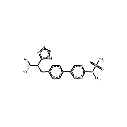 CCC[C@H](C(C)=O)[C@H](Cc1ccc(-c2cnc(N(C)S(C)(=O)=O)nc2)cc1)c1nnn[nH]1